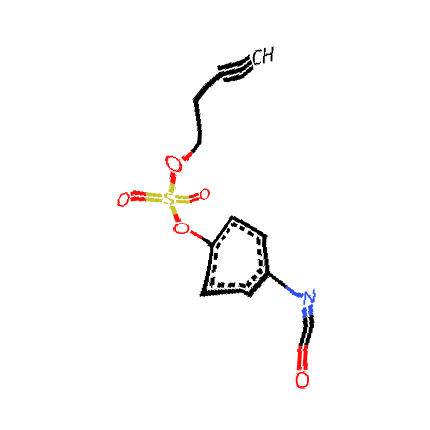 C#CCCOS(=O)(=O)Oc1ccc(N=C=O)cc1